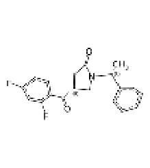 C[C@H](c1ccccc1)N1C[C@H](C(=O)c2ccc(F)cc2F)CC1=O